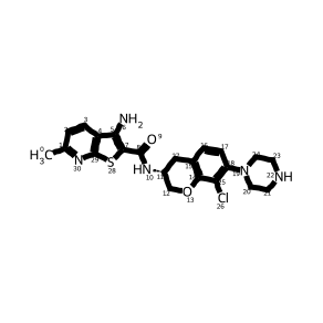 Cc1ccc2c(N)c(C(=O)N[C@H]3COc4c(ccc(N5CCNCC5)c4Cl)C3)sc2n1